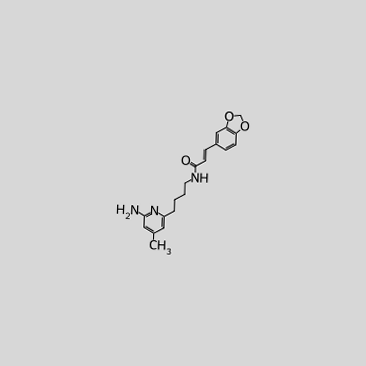 Cc1cc(N)nc(CCCCNC(=O)/C=C/c2ccc3c(c2)OCO3)c1